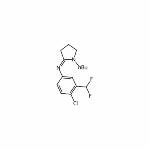 CCCCN1CCCC1=Nc1ccc(Cl)c(C(F)F)c1